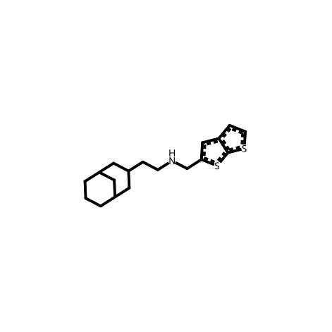 c1cc2cc(CNCCC3CC4CCCC(C4)C3)sc2s1